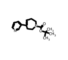 CC(C)(C)OC(=O)N1CCC=C(c2cccnc2)CC1